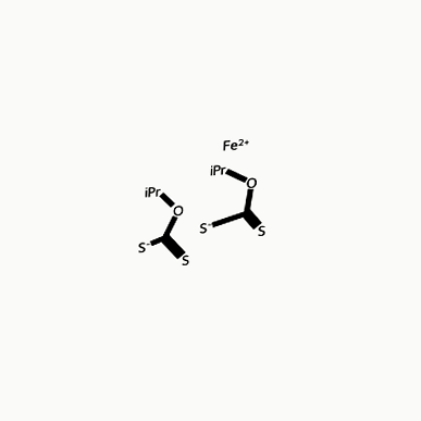 CC(C)OC(=S)[S-].CC(C)OC(=S)[S-].[Fe+2]